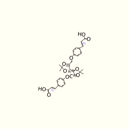 CC1(C)O[C@@H]([C@H]2OC(C)(C)O[C@@H]2COc2ccc(/C=C/C(=O)O)cc2)[C@H](COc2ccc(/C=C/C(=O)O)cc2)O1